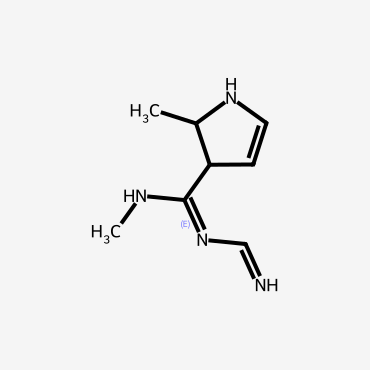 CN/C(=N/C=N)C1C=CNC1C